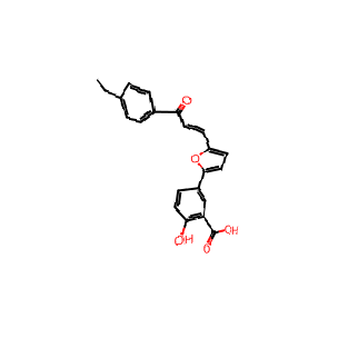 CCc1ccc(C(=O)/C=C/c2ccc(-c3ccc(O)c(C(=O)O)c3)o2)cc1